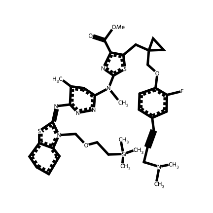 COC(=O)c1nc(N(C)c2cc(C)c(N=c3sc4ccccc4n3COCC[Si](C)(C)C)nn2)sc1CC1(COc2ccc(C#CCN(C)C)cc2F)CC1